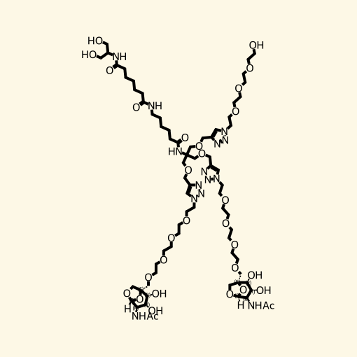 CC(=O)N[C@H]1[C@@H]2OC[C@](COCCOCCOCCOCCn3cc(COCC(COCc4cn(CCOCCOCCOCCO)nn4)(COCc4cn(CCOCCOCCOCCOC[C@@]56CO[C@@H](O5)[C@H](NC(C)=O)[C@@H](O)[C@H]6O)nn4)NC(=O)CCCCCNC(=O)CCCCCC(=O)NC(CO)CO)nn3)(O2)[C@H](O)[C@@H]1O